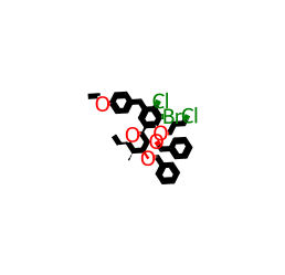 CCOc1ccc(Cc2cc([C@@H]3O[C@H](CC)[C@@H](C)[C@H](OCc4ccccc4)[C@H]3OCc3ccccc3)c(OCCCCl)c(Br)c2Cl)cc1